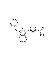 CC(=O)c1ccc(-c2nn(Cc3ccccc3)c3ccccc23)o1